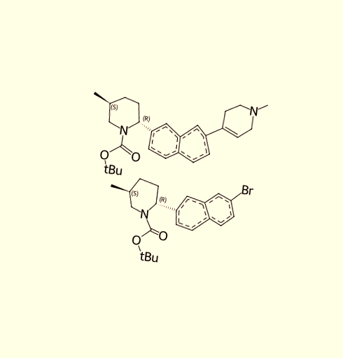 C[C@H]1CC[C@H](c2ccc3ccc(Br)cc3c2)N(C(=O)OC(C)(C)C)C1.C[C@H]1CC[C@H](c2ccc3ccc(C4=CCN(C)CC4)cc3c2)N(C(=O)OC(C)(C)C)C1